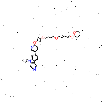 Cn1c2ccncc2c2ccc(-c3ccc(O[C@H]4C[C@H](OCCCCOCCCCCOC5CCCCO5)C4)nc3)cc21